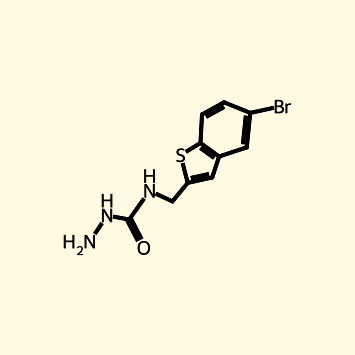 NNC(=O)NCc1cc2cc(Br)ccc2s1